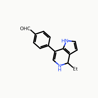 CCC1NC=C(c2ccc(C=O)cc2)c2[nH]ccc21